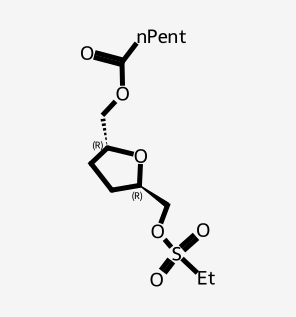 CCCCCC(=O)OC[C@H]1CC[C@H](COS(=O)(=O)CC)O1